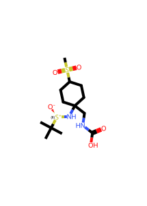 CC(C)(C)[S@+]([O-])NC1(CNC(=O)O)CCC(S(C)(=O)=O)CC1